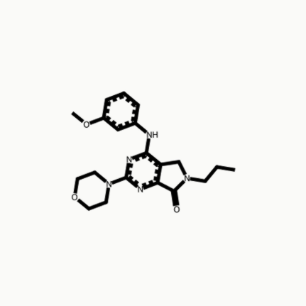 CCCN1Cc2c(Nc3cccc(OC)c3)nc(N3CCOCC3)nc2C1=O